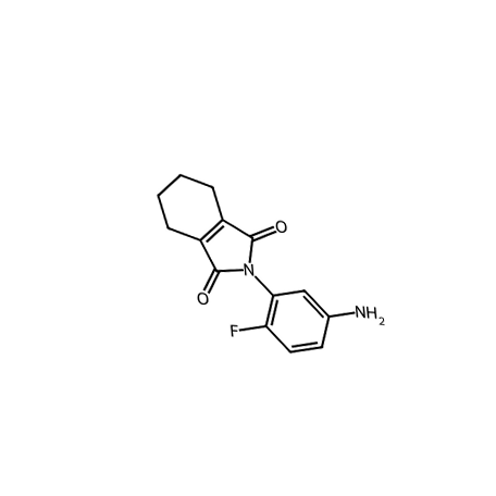 Nc1ccc(F)c(N2C(=O)C3=C(CCCC3)C2=O)c1